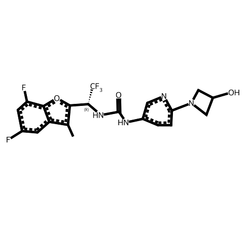 Cc1c([C@@H](NC(=O)Nc2ccc(N3CC(O)C3)nc2)C(F)(F)F)oc2c(F)cc(F)cc12